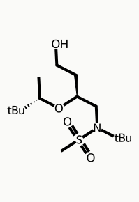 C[C@H](O[C@@H](CCO)CN(C(C)(C)C)S(C)(=O)=O)C(C)(C)C